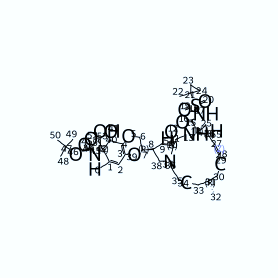 CC1=CC2=C(OC[C@@H](C3C[C@H]4C(=O)N[C@]5(C(=O)NS(=O)(=O)C6(C)CC6)C[C@H]5/C=C\CC[C@H](C)CCCCN4C3)O2)C(=O)[C@]1(NC(=O)OC(C)(C)C)C(=O)O